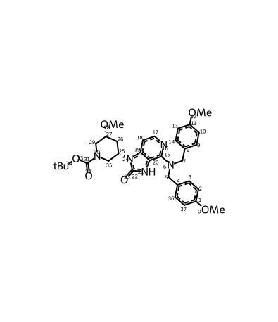 COc1ccc(CN(Cc2ccc(OC)cc2)c2nccc3c2[nH]c(=O)n3[C@H]2C[C@@H](OC)CN(C(=O)OC(C)(C)C)C2)cc1